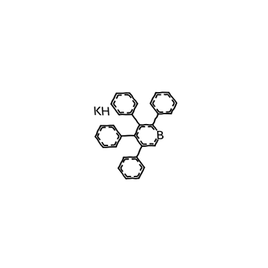 [KH].b1cc(-c2ccccc2)c(-c2ccccc2)c(-c2ccccc2)c1-c1ccccc1